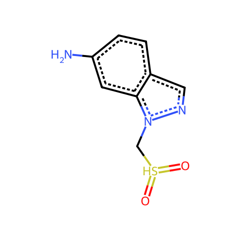 Nc1ccc2cnn(C[SH](=O)=O)c2c1